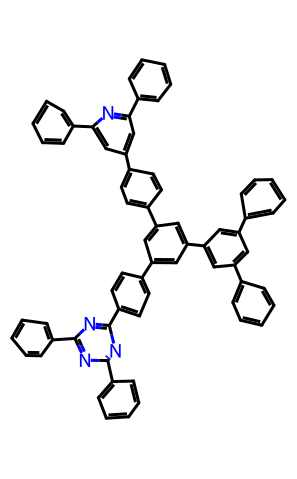 c1ccc(-c2cc(-c3ccccc3)cc(-c3cc(-c4ccc(-c5cc(-c6ccccc6)nc(-c6ccccc6)c5)cc4)cc(-c4ccc(-c5nc(-c6ccccc6)nc(-c6ccccc6)n5)cc4)c3)c2)cc1